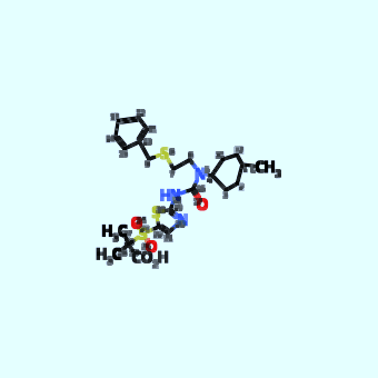 CC1CCC(N(CCSCc2ccccc2)C(=O)Nc2ncc(S(=O)(=O)C(C)(C)C(=O)O)s2)CC1